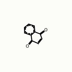 O=C1[C]=CC(=O)c2ccccc21